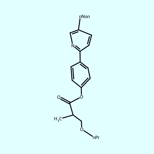 CCCCCCCCCc1ccc(-c2ccc(OC(=O)C(C)COCCC)cc2)nc1